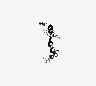 COc1cccc([C@@](O)(C(=O)N(C)CCCC2CCN(c3ccc(C(=O)N4CC(N)C4)c(Cl)n3)CC2)C(F)(F)F)c1